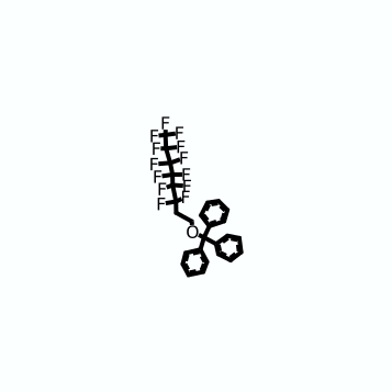 FC(F)(F)C(F)(F)C(F)(F)C(F)(F)C(F)(F)C(F)(F)CCOC(c1ccccc1)(c1ccccc1)c1ccccc1